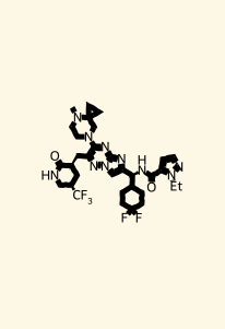 CCn1nccc1C(=O)N[C@H](c1cn2nc(C[C@H]3C[C@@H](C(F)(F)F)CNC3=O)c(N3CCN(C)C4(CC4)C3)nc2n1)C1CCC(F)(F)CC1